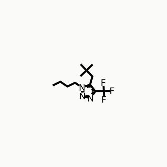 CCCCn1nnc(C(F)(F)F)c1CC(C)(C)C